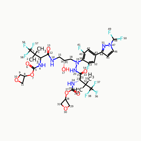 CC(C)(C(NC(=O)OC1COC1)C(=O)NC[C@@H](O)CN(NC(=O)[C@@H](NC(=O)OC1COC1)C(C)(C)C(F)(F)F)c1c(F)cc(-c2ccn(C(F)F)n2)cc1F)C(F)(F)F